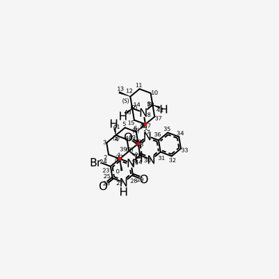 C[C@H]1CC[C@@H]2C[C@@H](CN3[C@@H]4CC[C@H](C)[C@H]3C[C@@H](n3c(=O)c(-n5cc(Br)c(=O)[nH]c5=O)nc5ccccc53)C4)C[C@H]1C2